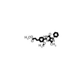 COC(=O)CCc1ccc(-c2nc3c(C)nn(-c4ccccc4)c3c(=O)[nH]2)c(OC)c1